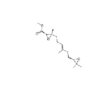 COC(=O)[C@@H]1O[C@@]1(C)CC/C=C(\C)CC[C@H]1OC1(C)C